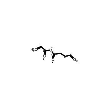 C=CC(=O)OC(=O)CCC=O